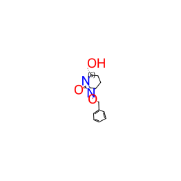 O=C1N(OCc2ccccc2)C2CC[C@@H](CO)N1C2